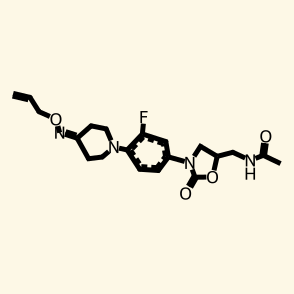 C=CCON=C1CCN(c2ccc(N3CC(CNC(C)=O)OC3=O)cc2F)CC1